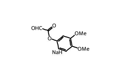 COc1ccc(OC(=O)C=O)cc1OC.[NaH]